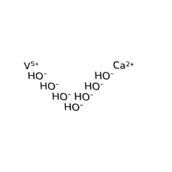 [Ca+2].[OH-].[OH-].[OH-].[OH-].[OH-].[OH-].[OH-].[V+5]